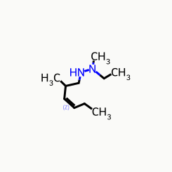 CC/C=C\C(C)CNN(C)CC